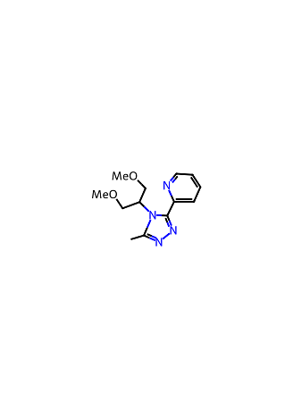 COCC(COC)n1c(C)nnc1-c1ccccn1